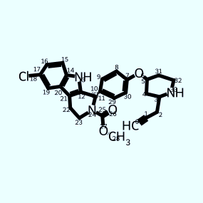 C#CCC1CC(Oc2ccc([C@H]3c4[nH]c5ccc(Cl)cc5c4CCN3C(=O)OC)cc2)CCN1